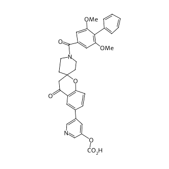 COc1cc(C(=O)N2CCC3(CC2)CC(=O)c2cc(-c4cncc(OC(=O)O)c4)ccc2O3)cc(OC)c1-c1ccccc1